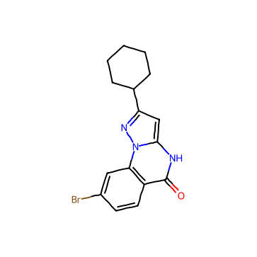 O=c1[nH]c2cc(C3CCCCC3)nn2c2cc(Br)ccc12